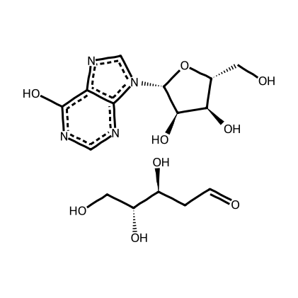 O=CC[C@H](O)[C@H](O)CO.OC[C@H]1O[C@@H](n2cnc3c(O)ncnc32)[C@H](O)[C@@H]1O